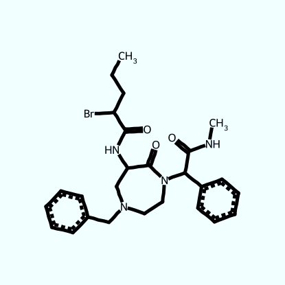 CCCC(Br)C(=O)NC1CN(Cc2ccccc2)CCN(C(C(=O)NC)c2ccccc2)C1=O